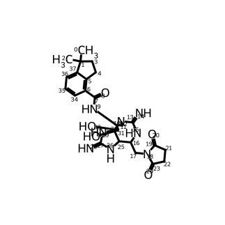 CC1(C)CCc2c(C(=O)NC3CN4C(=N)NC(CN5C(=O)CCC5=O)C5NC(=N)NC54C3(O)O)cccc21